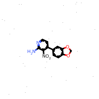 Nc1nccc(-c2ccc3c(c2)OCO3)c1[N+](=O)[O-]